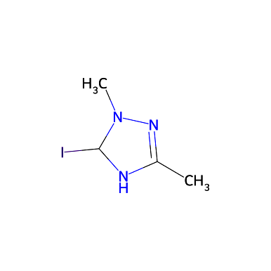 CC1=NN(C)C(I)N1